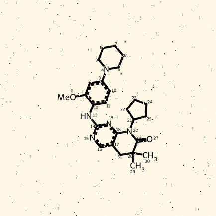 COc1cc(N2CCCCC2)ccc1Nc1ncc2c(n1)N(C1CCCC1)C(=O)C(C)(C)C2